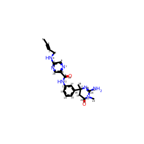 CC#CCNc1cnc(C(=O)Nc2cccc(C3(C)CC(=O)N(C)C(N)=N3)c2)cn1